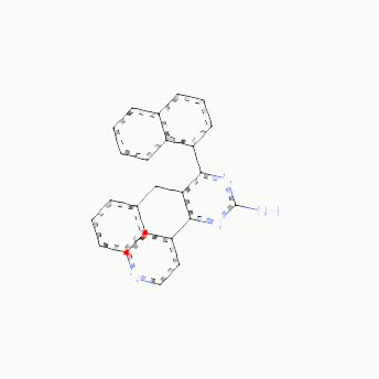 Nc1nc(-c2ccncc2)c(Cc2ccccc2)c(-c2cccc3ccccc23)n1